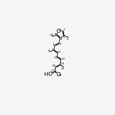 CC(C=Cc1c(C)coc1C)=CC=CC(C)=CC(=O)O